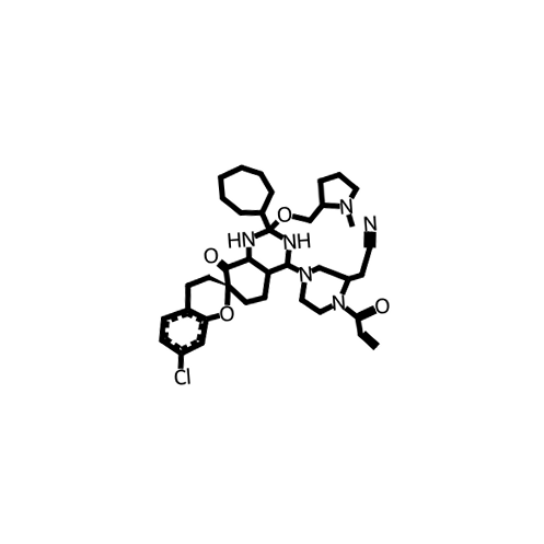 C=CC(=O)N1CCN(C2NC(OCC3CCCN3C)(C3CCCCCC3)NC3C(=O)[C@]4(CCc5ccc(Cl)cc5O4)CCC32)CC1CC#N